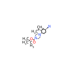 C=C(C)c1cc(C#N)ccc1N1CCN(C(=O)OC(C)(C)C)CC1